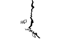 C=C(C)C(=O)OCC(C)(C)NCCCCCCCCCCCCCCCC.Cl